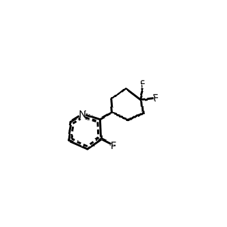 Fc1cccnc1C1CCC(F)(F)CC1